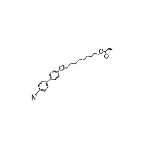 C=CC(=O)OCCCCCCCCCOc1ccc(-c2ccc(C#N)cc2)cc1